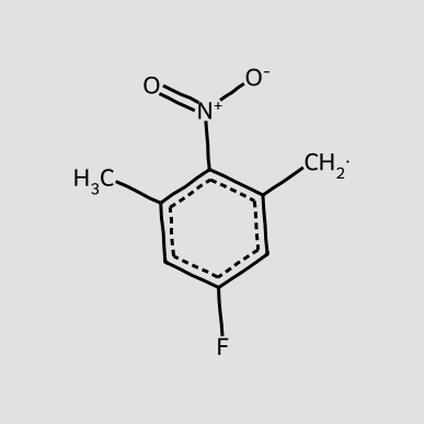 [CH2]c1cc(F)cc(C)c1[N+](=O)[O-]